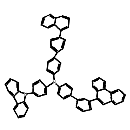 c1cc(-c2ccc(N(c3ccc(-c4ccc(-c5cccc6ccccc56)cc4)cc3)c3ccc(-n4c5ccccc5c5ccccc54)cc3)cc2)cc(-c2cc3ccccc3c3ccccc23)c1